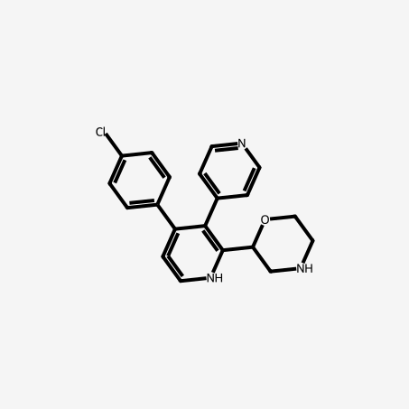 Clc1ccc(C2=C=CNC(C3CNCCO3)=C2c2ccncc2)cc1